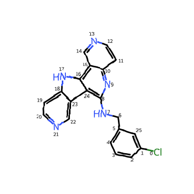 Clc1cccc(CNc2nc3ccncc3c3[nH]c4ccncc4c23)c1